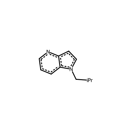 CC(C)Cn1ccc2ncccc21